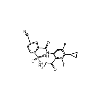 CC(=O)c1c(NC(=O)c2cc(C#N)ccc2S(C)(=O)=O)cc(F)c(C2CC2)c1F